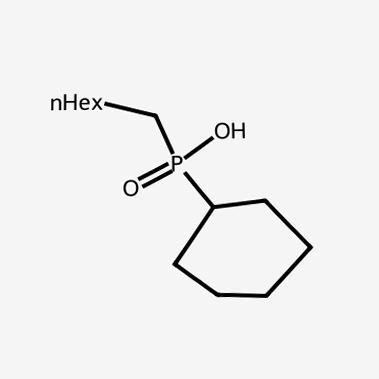 CCCCCCCP(=O)(O)C1CCCCC1